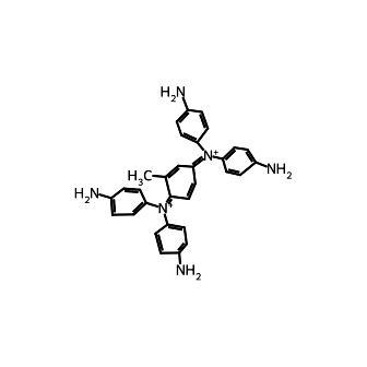 CC1=CC(=[N+](c2ccc(N)cc2)c2ccc(N)cc2)C=CC1=[N+](c1ccc(N)cc1)c1ccc(N)cc1